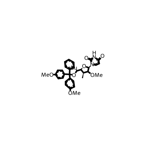 CCCC[C@@H](OC(c1ccccc1)(c1ccc(OC)cc1)c1ccc(OC)cc1)[C@H]1O[C@@H](n2ccc(=O)[nH]c2=O)C(OC)[C@H]1C